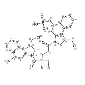 Nc1cc2c(c3ccccc13)[C@H](CCl)CN2C(=O)C1(CCC(=O)N2C[C@@H](CCl)c3c2cc(OP(=O)(O)O)c2ccccc32)CCC1